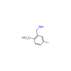 Cc1ccc(S(=O)(=O)O)c(C[NH])c1